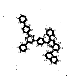 c1ccc(-c2ccc(-c3nc(-c4ccccc4)cc(-c4ccc(-c5nc6c(-c7cccc8ccccc78)cccc6c6sc7ccccc7c56)cc4)n3)cc2)cc1